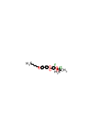 CCCCCCCOc1ccc(-c2ccc(OC(=O)c3ccc(OC(=O)C(Cl)C(C)C)c(F)c3)cc2)cc1